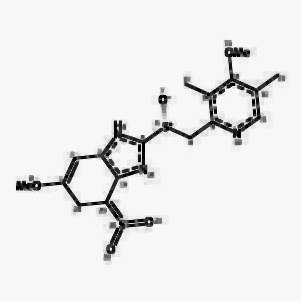 COC1=Cc2[nH]c([S@+]([O-])Cc3ncc(C)c(OC)c3C)nc2C(=S(=O)=O)C1